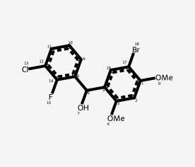 COc1cc(OC)c(C(O)c2cccc(Cl)c2F)cc1Br